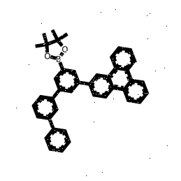 CC1(C)OB(c2cc(-c3cccc(-c4ccccc4)c3)cc(-c3ccc4c5ccccc5c5ccccc5c4c3)c2)OC1(C)C